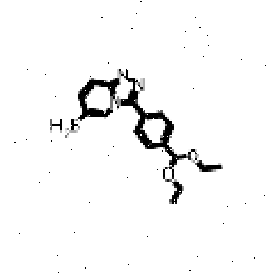 Bc1ccc2nnc(-c3ccc(C(OCC)OCC)cc3)n2c1